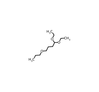 CCCOCCCC(OCC)OCC